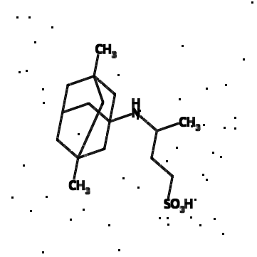 CC(CCS(=O)(=O)O)NC12CC3CC(C)(CC(C)(C3)C1)C2